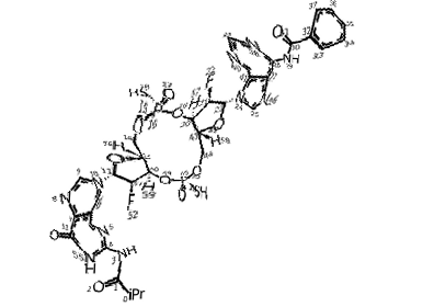 CC(C)C(=O)Nc1nc2c(ncn2[C@@H]2O[C@@H]3CO[P@](=O)(S)O[C@H]4[C@@H](F)[C@H](n5cnc6c(NC(=O)c7ccccc7)ncnc65)O[C@@H]4CO[P@@](=O)(S)O[C@H]3[C@H]2F)c(=O)[nH]1